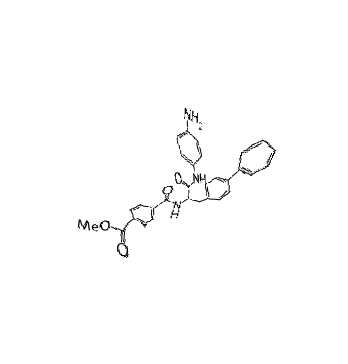 COC(=O)c1ccc(C(=O)NC(Cc2ccc(-c3ccccc3)cc2)C(=O)Nc2ccc(N)cc2)cc1